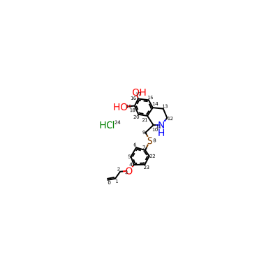 C=CCOc1ccc(SCC2NCCc3cc(O)c(O)cc32)cc1.Cl